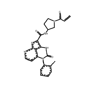 C=CC(=O)N1CCC(NC(=O)c2sc3nccc4c3c2NC(=O)N4c2ccccc2C)C1